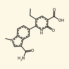 CCc1cc(C(=O)O)c(=O)[nH]c1-c1ccc2c(c1)c(C(N)=O)cn2C